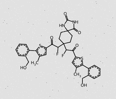 Cc1cc(C(=O)C(F)C2(C(F)C(=O)c3cc(C)c(-c4ccccc4CO)s3)CCC3(CC2)NC(=O)NC3=O)sc1-c1ccccc1CO